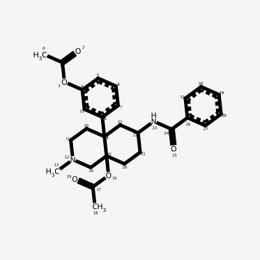 CC(=O)Oc1cccc(C23CCN(C)CC2(OC(C)=O)CCC(NC(=O)c2ccccc2)C3)c1